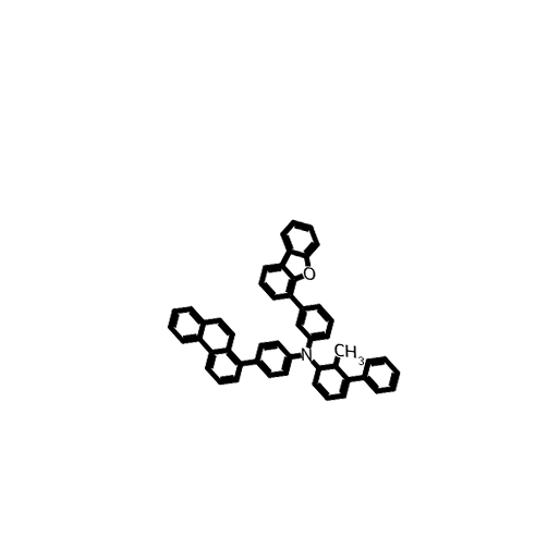 CC1C(c2ccccc2)=CC=CC1N(c1ccc(-c2cccc3c2ccc2ccccc23)cc1)c1cccc(-c2cccc3c2oc2ccccc23)c1